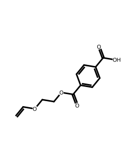 C=COCCOC(=O)c1ccc(C(=O)O)cc1